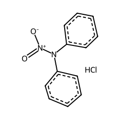 Cl.O=[N+]([O-])N(c1ccccc1)c1ccccc1